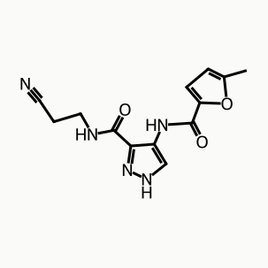 Cc1ccc(C(=O)Nc2c[nH]nc2C(=O)NCCC#N)o1